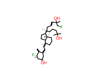 C=C1/C(=C\C=C2/CCC[C@@]3(C)C2CCC3[C@@](C)(C/C=C/C(C)(O)CF)CCCC(C)(C)O)C[C@@H](O)C[C@@H]1F